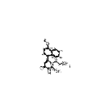 COc1ccc(C2=CC(=O)NC(S)N2CCN)c2ccccc12